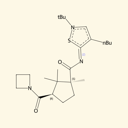 CCCCc1cn(C(C)(C)C)s/c1=N\C(=O)[C@@]1(C)CC[C@@H](C(=O)N2CCC2)C1(C)C